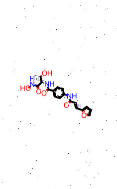 C[C@H](O)[C@H](NC(=O)c1ccc(NC(=O)/C=C/c2ccco2)cc1)C(=O)NO